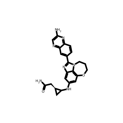 NC(=O)C[C@@H]1C[C]1Nc1cc2c3c(c1)nc(-c1ccc4nc(N)cnc4c1)n3CCCO2